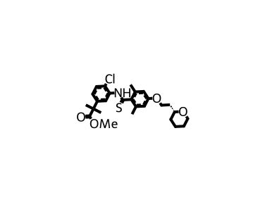 COC(=O)C(C)(C)c1ccc(Cl)c(NC(=S)c2c(C)cc(OCC[C@H]3CCCCO3)cc2C)c1